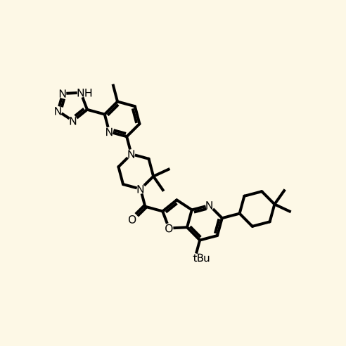 Cc1ccc(N2CCN(C(=O)c3cc4nc(C5CCC(C)(C)CC5)cc(C(C)(C)C)c4o3)C(C)(C)C2)nc1-c1nnn[nH]1